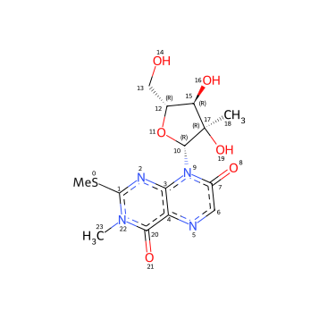 CSc1nc2c(ncc(=O)n2[C@@H]2O[C@H](CO)[C@@H](O)[C@@]2(C)O)c(=O)n1C